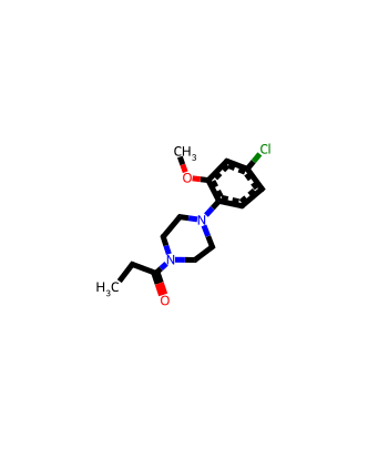 CCC(=O)N1CCN(c2ccc(Cl)cc2OC)CC1